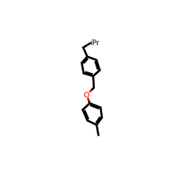 Cc1ccc(OCc2ccc(CC(C)C)cc2)cc1